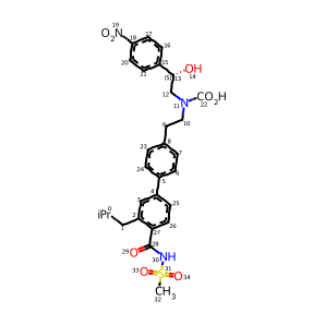 CC(C)Cc1cc(-c2ccc(CCN(C[C@@H](O)c3ccc([N+](=O)[O-])cc3)C(=O)O)cc2)ccc1C(=O)NS(C)(=O)=O